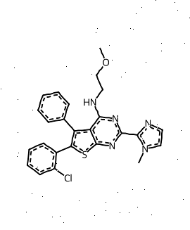 COCCNc1nc(-c2nccn2C)nc2sc(-c3ccccc3Cl)c(-c3ccccc3)c12